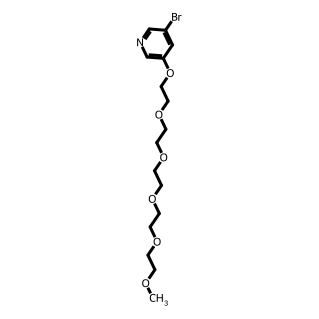 COCCOCCOCCOCCOCCOc1cncc(Br)c1